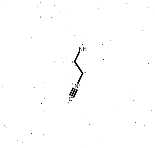 [C-]#[N+]CC[NH]